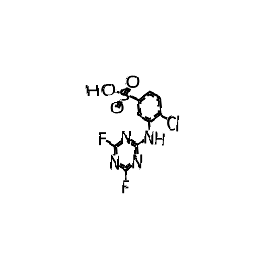 O=S(=O)(O)c1ccc(Cl)c(Nc2nc(F)nc(F)n2)c1